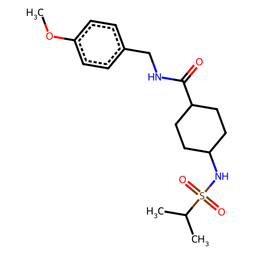 COc1ccc(CNC(=O)C2CCC(NS(=O)(=O)C(C)C)CC2)cc1